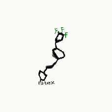 CCCCCCC1CCC(/C=C/C2CCC(c3cc(F)c(F)c(F)c3)CC2)CC1